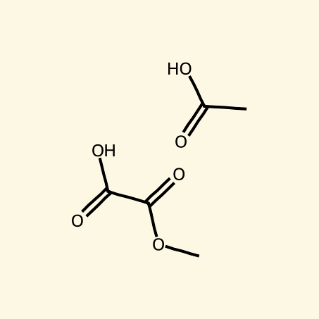 CC(=O)O.COC(=O)C(=O)O